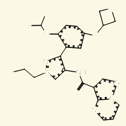 O=C(Nc1cn(CCBr)nc1-c1cc(SC2COC2)ccc1OC(F)F)c1cnn2cccnc12